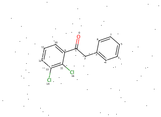 O=C(Cc1ccccc1)c1cccc(Cl)c1Cl